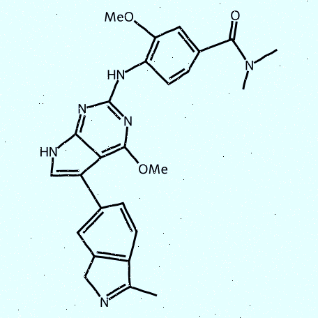 COc1cc(C(=O)N(C)C)ccc1Nc1nc(OC)c2c(-c3ccc4c(c3)CN=C4C)c[nH]c2n1